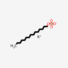 CCCCCCCCCCCCCCCOS(=O)(=O)[O-].[K+]